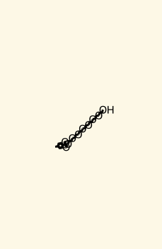 Cc1ccc(S(=O)(=O)OCCOCCOCCOCCOCCOCCOCCO)cc1